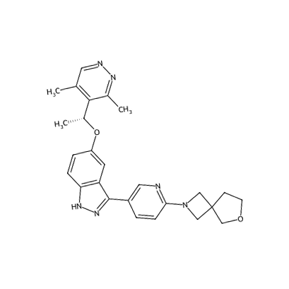 Cc1cnnc(C)c1[C@@H](C)Oc1ccc2[nH]nc(-c3ccc(N4CC5(CCOC5)C4)nc3)c2c1